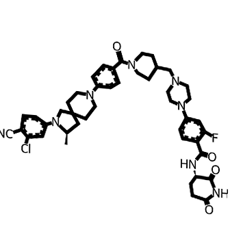 C[C@@H]1CC2(CCN(c3ccc(C(=O)N4CCC(CN5CCN(c6ccc(C(=O)N[C@H]7CCC(=O)NC7=O)c(F)c6)CC5)CC4)cc3)CC2)CN1c1ccc(C#N)c(Cl)c1